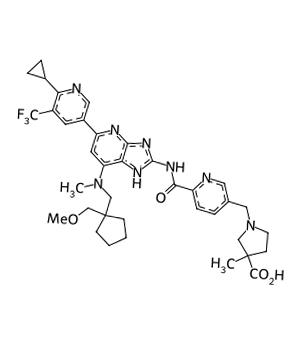 COCC1(CN(C)c2cc(-c3cnc(C4CC4)c(C(F)(F)F)c3)nc3nc(NC(=O)c4ccc(CN5CCC(C)(C(=O)O)C5)cn4)[nH]c23)CCCC1